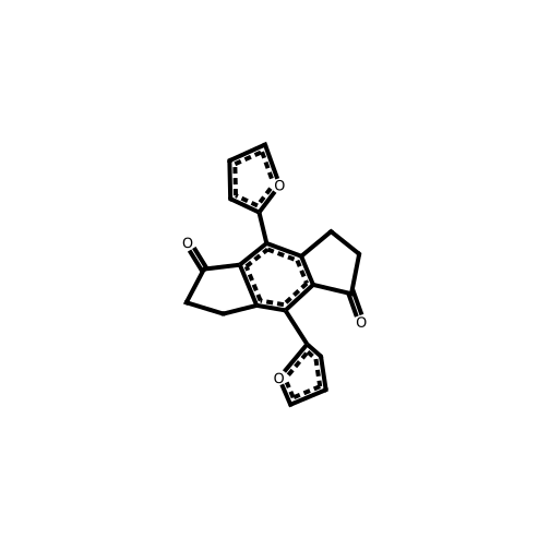 O=C1CCc2c1c(-c1ccco1)c1c(c2-c2ccco2)C(=O)CC1